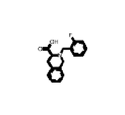 O=C(O)C1Cc2ccccc2CN1Cc1ccccc1F